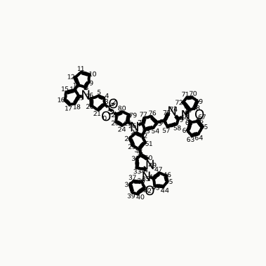 O=S(=O)(c1ccc(-n2c3ccccc3c3ccccc32)cc1)c1ccc(-n2c3ccc(-c4ccc(N5c6ccccc6Oc6ccccc65)nc4)cc3c3cc(-c4ccc(N5c6ccccc6Oc6ccccc65)nc4)ccc32)cc1